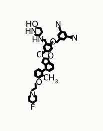 Cc1c(OCCCN2CCC(F)CC2)cccc1-c1cccc2c1CC[C@@H]2Oc1cc(OCc2cc(C#N)cc(C#N)c2)c(CN[C@H]2CCC(O)NC2)cc1Cl